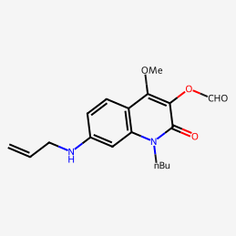 C=CCNc1ccc2c(OC)c(OC=O)c(=O)n(CCCC)c2c1